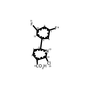 O=C(O)c1ccc(-c2cc(F)cc(F)c2)nc1Cl